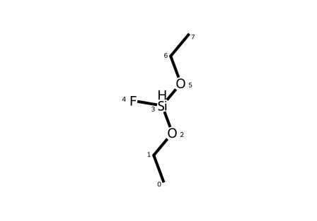 CCO[SiH](F)OCC